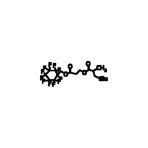 CC(CC(C)(C)C)C(=O)OCCC(=O)OCC1(F)C(F)(F)C(F)(F)C(F)(F)C(F)(F)C1(F)F